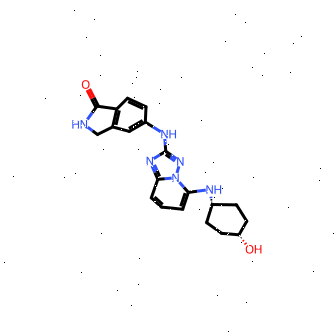 O=C1NCc2cc(Nc3nc4cccc(N[C@H]5CC[C@@H](O)CC5)n4n3)ccc21